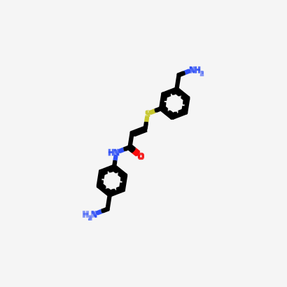 NCc1ccc(NC(=O)C=CSc2cccc(CN)c2)cc1